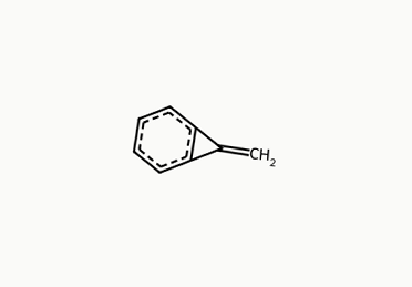 C=C1c2ccccc21